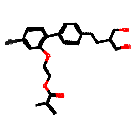 C=C(C)C(=O)OCCOc1cc(CCC)ccc1-c1ccc(CCC(CO)CO)cc1